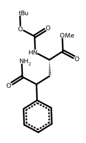 COC(=O)[C@H](CC(C(N)=O)c1ccccc1)NC(=O)OC(C)(C)C